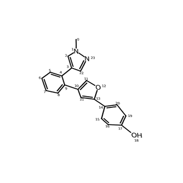 Cn1cc(-c2ccccc2-c2coc(-c3ccc(O)cc3)c2)cn1